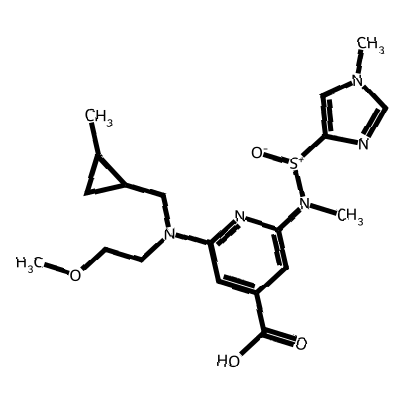 COCCN(CC1CC1C)c1cc(C(=O)O)cc(N(C)[S+]([O-])c2cn(C)cn2)n1